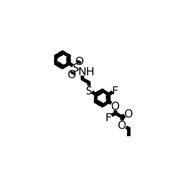 CCOC(=O)C(F)Oc1ccc(SCCNS(=O)(=O)c2ccccc2)cc1F